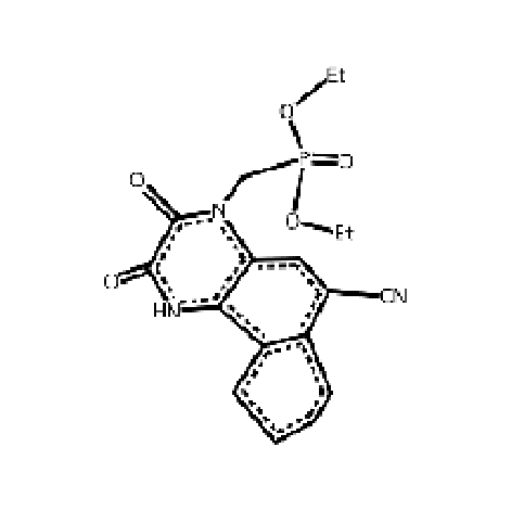 CCOP(=O)(Cn1c(=O)c(=O)[nH]c2c3ccccc3c(C#N)cc21)OCC